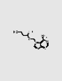 Nc1ncnc2pcn(COC(O)CCO)c12